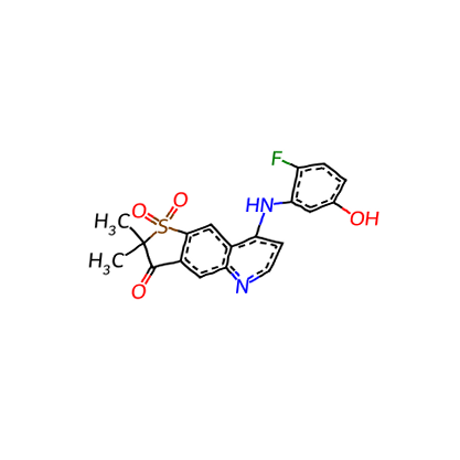 CC1(C)C(=O)c2cc3nccc(Nc4cc(O)ccc4F)c3cc2S1(=O)=O